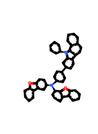 c1ccc(-n2c3cc(-c4ccc(N(c5ccc6oc7ccccc7c6c5)c5cccc6c5oc5ccccc56)cc4)ccc3c3ccc4ccccc4c32)cc1